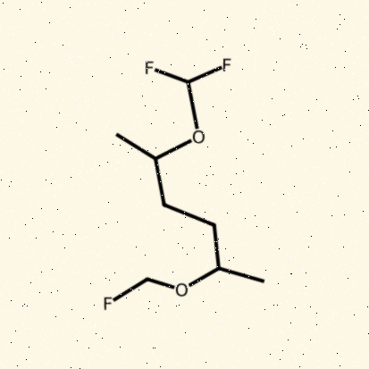 CC(CCC(C)OC(F)F)OCF